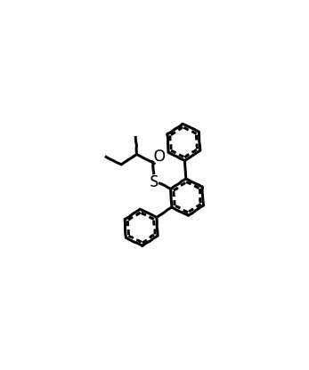 CCC(C)C(=O)Sc1c(-c2ccccc2)cccc1-c1ccccc1